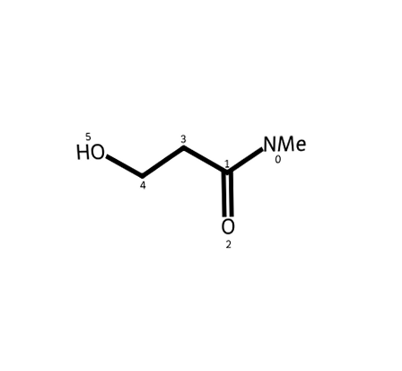 [CH2]NC(=O)CCO